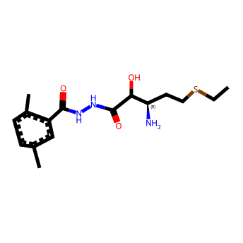 CCSCC[C@@H](N)C(O)C(=O)NNC(=O)c1cc(C)ccc1C